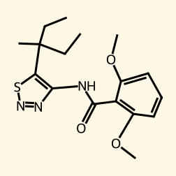 CCC(C)(CC)c1snnc1NC(=O)c1c(OC)cccc1OC